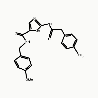 COc1ccc(CNC(=O)c2cnc(NC(=O)Cc3ccc(C)cc3)[se]2)cc1